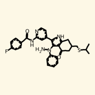 CC(C)SCC1CC(=O)c2c([nH]c(-c3ccnc(NC(=O)c4ccc(F)cc4)c3)c2N(N)c2ccccc2)C1